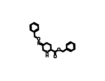 O=C(OCc1ccccc1)C1CCC(=NOCc2ccccc2)CN1